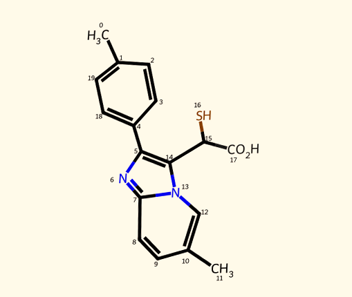 Cc1ccc(-c2nc3ccc(C)cn3c2C(S)C(=O)O)cc1